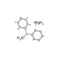 [MgH2].[SiH3]C(c1ccccc1)c1ccccc1